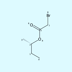 CC[C@H](C)OC(=O)CBr